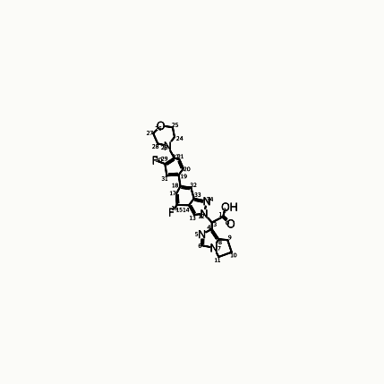 O=C(O)C(c1ncn2c1CCC2)n1cc2c(F)cc(-c3ccc(N4CCOCC4)c(F)c3)cc2n1